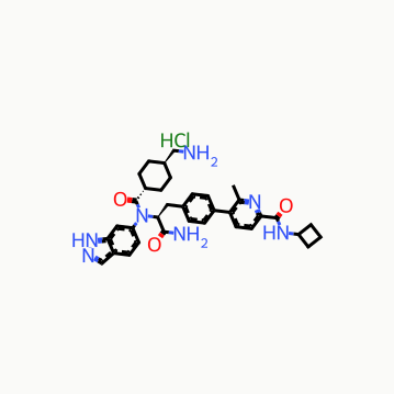 Cc1nc(C(=O)NC2CCC2)ccc1-c1ccc(C[C@@H](C(N)=O)N(c2ccc3cn[nH]c3c2)C(=O)[C@H]2CC[C@H](CN)CC2)cc1.Cl